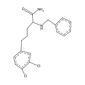 NC(=O)C(CCCc1ccc(Cl)c(Cl)c1)NCc1ccccc1